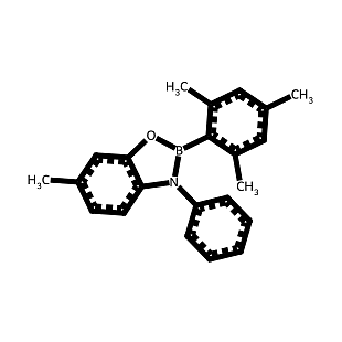 Cc1cc(C)c(B2Oc3cc(C)ccc3N2c2ccccc2)c(C)c1